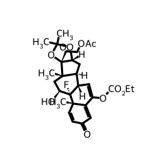 CCOC(=O)OC1=C[C@H]2[C@@H]3C[C@H]4OC(C)(C)O[C@@]4(C(=O)COC(C)=O)[C@@]3(C)C[C@H](O)[C@]2(F)[C@@]2(C)C=CC(=O)C=C12